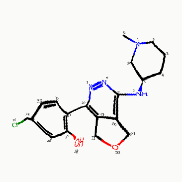 CN1CCC[C@@H](Nc2nnc(-c3ccc(Cl)cc3O)c3c2COC3)C1